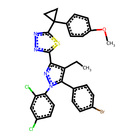 CCc1c(-c2nnc(C3(c4ccc(OC)cc4)CC3)s2)nn(-c2ccc(Cl)cc2Cl)c1-c1ccc(Br)cc1